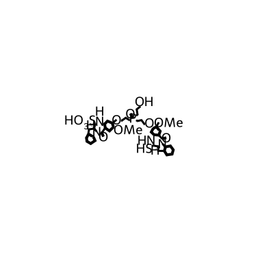 COc1cc2c(cc1OCCCP(=O)(CCCO)CCCOc1cc3c(cc1OC)C(=O)N1c4ccccc4C[C@H]1C(S(=O)(=O)O)N3)NC(S)[C@@H]1Cc3ccccc3N1C2=O